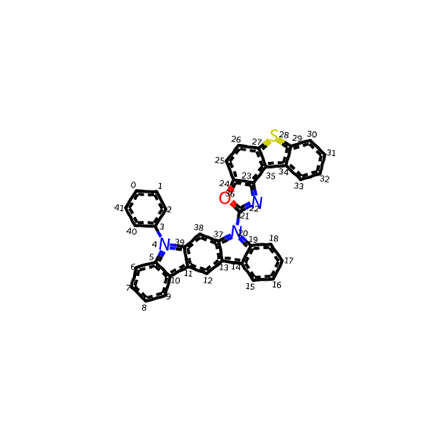 c1ccc(-n2c3ccccc3c3cc4c5ccccc5n(-c5nc6c(ccc7sc8ccccc8c76)o5)c4cc32)cc1